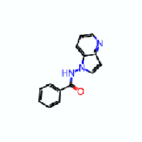 O=C(Nn1ccc2ncccc21)c1ccccc1